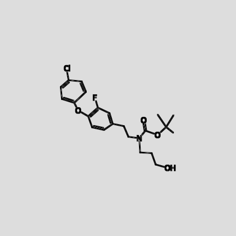 CC(C)(C)OC(=O)N(CCCO)CCc1ccc(Oc2ccc(Cl)cc2)c(F)c1